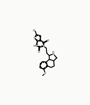 COc1cccc2c1CCC1CNC(CCn3c(=O)[nH]c4sc(Cl)cc4c3=O)C21